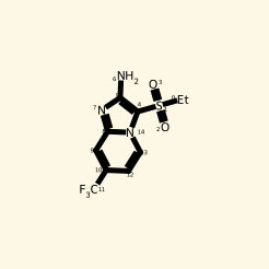 CCS(=O)(=O)c1c(N)nc2cc(C(F)(F)F)ccn12